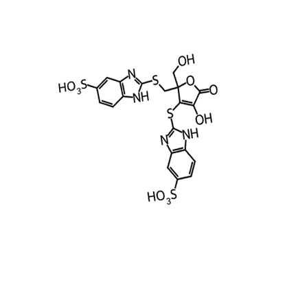 O=C1OC(CO)(CSc2nc3cc(S(=O)(=O)O)ccc3[nH]2)C(Sc2nc3cc(S(=O)(=O)O)ccc3[nH]2)=C1O